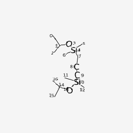 CC(C)O[Si](C)(C)CCC[Si](C)(C)OC(C)C